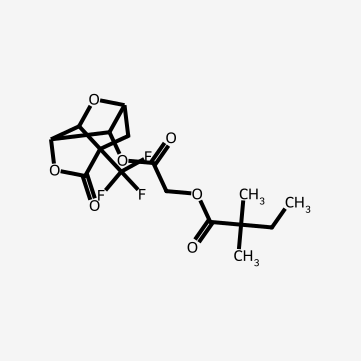 CCC(C)(C)C(=O)OCC(=O)OC1C2CC3(C(F)(F)F)C(=O)OC1C3O2